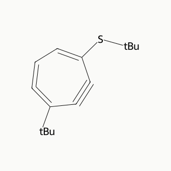 CC(C)(C)SC1=CC=C=C(C(C)(C)C)C#C1